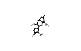 COc1ccc(-c2nc3c(N)nc(C)nc3nc2S)cc1OC